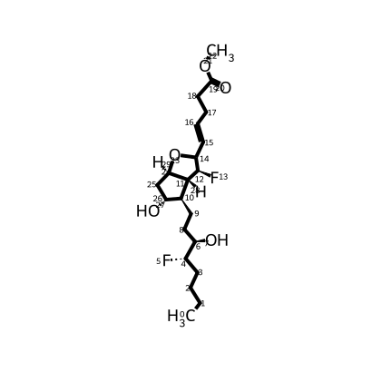 CCCC[C@H](F)[C@H](O)CC[C@@H]1[C@H]2[C@H](F)C(/C=C/CCC(=O)OC)O[C@@H]2C[C@H]1O